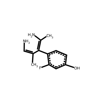 CC(=C/N)/C(=C(/C)N)c1ccc(O)cc1F